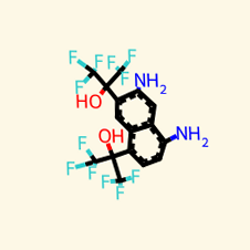 Nc1cc2c(N)ccc(C(O)(C(F)(F)F)C(F)(F)F)c2cc1C(O)(C(F)(F)F)C(F)(F)F